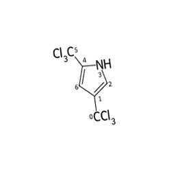 ClC(Cl)(Cl)c1c[nH]c(C(Cl)(Cl)Cl)c1